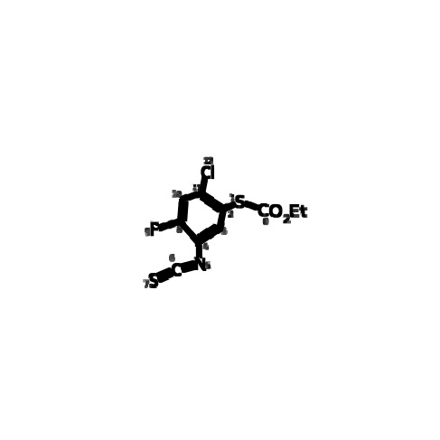 CCOC(=O)Sc1cc(N=C=S)c(F)cc1Cl